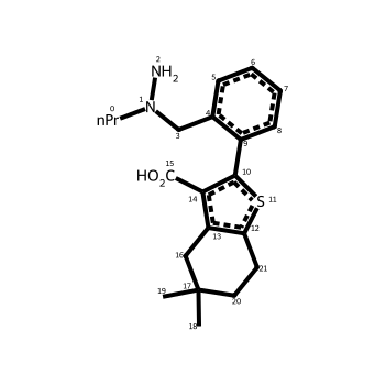 CCCN(N)Cc1ccccc1-c1sc2c(c1C(=O)O)CC(C)(C)CC2